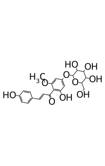 COc1cc(OC2OC(CO)C(O)C(O)C2O)cc(O)c1C(=O)/C=C/c1ccc(O)cc1